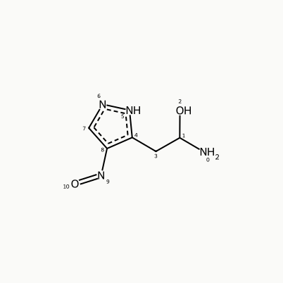 NC(O)Cc1[nH]ncc1N=O